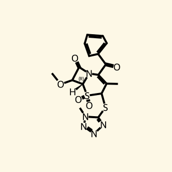 COC1C(=O)N2C(C(=O)c3ccccc3)=C(C)C(Sc3nnnn3C)S(=O)(=O)[C@H]12